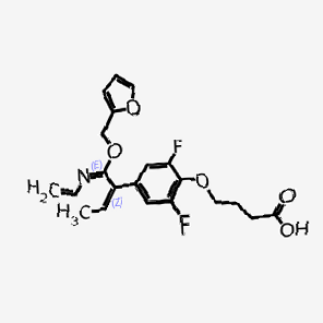 C=C/N=C(OCc1ccco1)\C(=C/C)c1cc(F)c(OCCCC(=O)O)c(F)c1